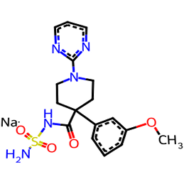 COc1cccc(C2(C(=O)NS(N)(=O)=O)CCN(c3ncccn3)CC2)c1.[Na]